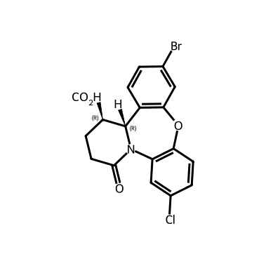 O=C(O)[C@@H]1CCC(=O)N2c3cc(Cl)ccc3Oc3cc(Br)ccc3[C@@H]12